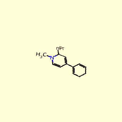 CCCC1C=C(C2=CCCC=C2)C=CN1C